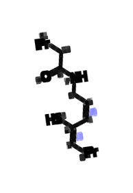 CC(C)/C=C(S)\C=C/CNC(=O)CC(C)C